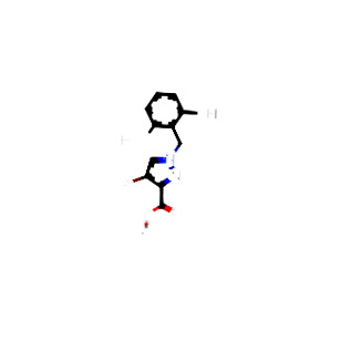 COC(=O)c1nn(Cc2c(C)cccc2C)cc1Br